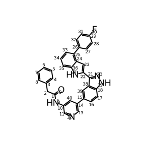 O=C(Cc1ccccc1)Nc1cncc(-c2ccc3[nH]nc(-c4cc5c(-c6ccc(F)cc6)cccc5[nH]4)c3c2)c1